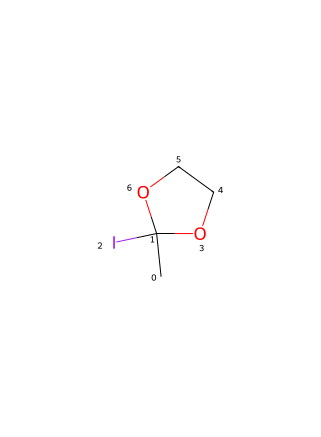 CC1(I)OCCO1